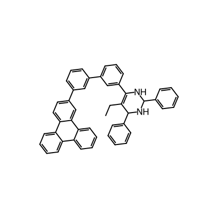 CCC1=C(c2cccc(-c3cccc(-c4ccc5c6ccccc6c6ccccc6c5c4)c3)c2)NC(c2ccccc2)NC1c1ccccc1